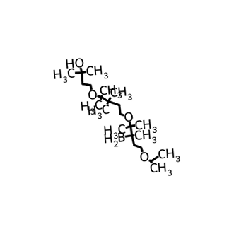 BC(C)(CCOC(C)C)C(C)(C)OCCC(C)(C)C(C)(C)OCCC(C)(C)O